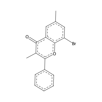 Cc1cc(Br)c2oc(-c3ccccc3)c(C)c(=O)c2c1